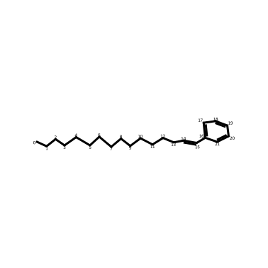 CCCCCCCCCCCCCCC=Cc1c[c]ccc1